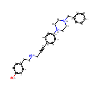 Oc1ccc(CCNCC#Cc2ccc(N3CCN(Cc4ccccc4)CC3)cc2)cc1